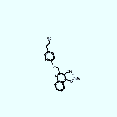 CCCCOc1c(C)c(COc2ccc(CCC(C)=O)cn2)nc2ccccc12